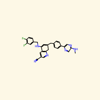 CNc1cnc(-c2ccc(CC3=C=C(NCc4ccc(F)c(F)c4)c4cc(C#N)cnc4C3)cc2)cn1